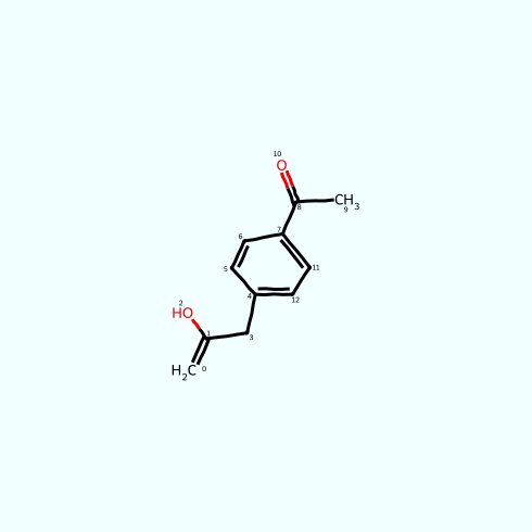 C=C(O)Cc1ccc(C(C)=O)cc1